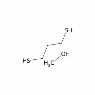 CO.SCCCS